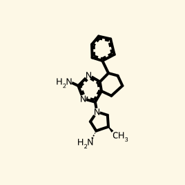 C[C@@H]1CN(c2nc(N)nc3c2CCCC3c2ccccc2)C[C@H]1N